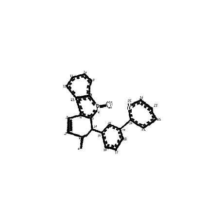 CC1C=Cc2c(p(Cl)c3ccccc23)C1c1cccc(-c2ccccn2)c1